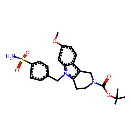 COc1ccc2c3c(n(Cc4ccc(S(N)(=O)=O)cc4)c2c1)CCN(C(=O)OC(C)(C)C)C3